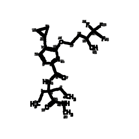 CCC(CC)(NC(=O)c1ccc(C2CC2)c(OCCC(O)C(F)(F)F)n1)C(=O)NC